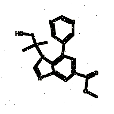 COC(=O)c1cc(-c2cncnc2)c2c(c1)ncn2C(C)(C)CO